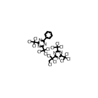 ClC(Cl)(Cl)c1nc(-c2ccccc2)nc(C(Cl)(Cl)Cl)n1.ClCC(Cl)(Cl)c1nc(C(Cl)(Cl)Cl)nc(C(Cl)(Cl)Cl)n1